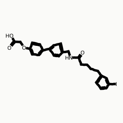 O=C(O)COc1ccc(-c2ccc(CNC(=O)CCCCc3cccc(I)c3)cc2)cc1